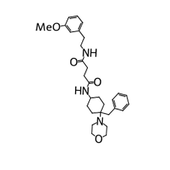 COc1cccc(CCNC(=O)CCC(=O)NC2CCC(Cc3ccccc3)(N3CCOCC3)CC2)c1